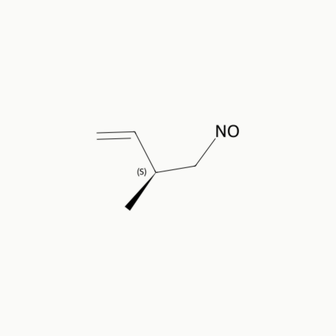 C=C[C@H](C)CN=O